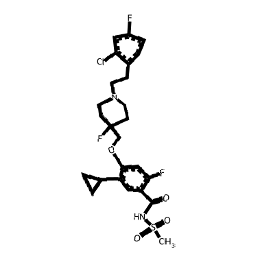 CS(=O)(=O)NC(=O)c1cc(C2CC2)c(OCC2(F)CCN(CCc3ccc(F)cc3Cl)CC2)cc1F